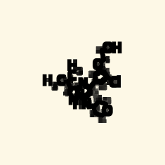 CC(C)c1cnn2c(NC3CCOCC3)cc(-c3cc(Cl)cc(OCCO)c3)nc12